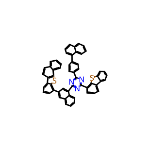 c1ccc2c(-c3ccc(-c4nc(-c5cc(-c6cccc7c6sc6c8ccccc8ccc76)cc6ccccc56)nc(-c5cccc6c5sc5ccccc56)n4)cc3)cccc2c1